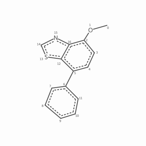 COc1ccc(-c2ccccc2)c2s[c]nc12